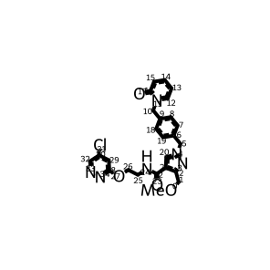 COCc1nn(Cc2ccc(Cn3ccccc3=O)cc2)cc1C(=O)NCCOc1cc(Cl)cnn1